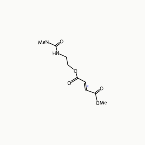 CNC(=O)NCCOC(=O)/C=C/C(=O)OC